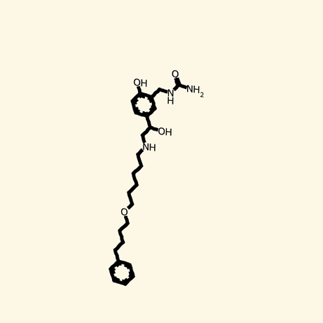 NC(=O)NCc1cc(C(O)CNCCCCCCOCCCCc2ccccc2)ccc1O